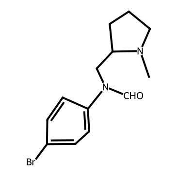 CN1CCCC1CN(C=O)c1ccc(Br)cc1